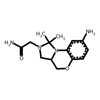 CC1(C)N(CC(N)=O)CC2COc3ccc(N)cc3N21